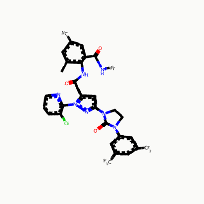 Cc1cc(C#N)cc(C(=O)NC(C)C)c1NC(=O)c1cc(N2CCN(c3cc(C(F)(F)F)cc(C(F)(F)F)c3)C2=O)nn1-c1ncccc1Cl